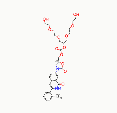 O=C(OC[C@@H]1CN(c2ccc3cc(-c4ccccc4C(F)(F)F)[nH]c(=O)c3c2)C(=O)O1)OC(COCCOCCO)COCCOCCO